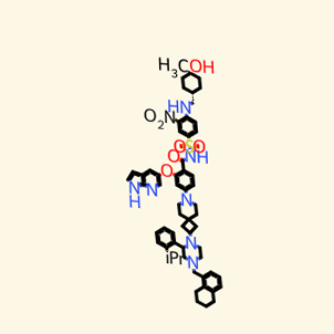 CC(C)c1ccccc1C1CN(Cc2cccc3c2CCCC3)CCN1C1CC2(CCN(c3ccc(C(=O)NS(=O)(=O)c4ccc(NC[C@H]5CC[C@](C)(O)CC5)c([N+](=O)[O-])c4)c(Oc4cnc5[nH]ccc5c4)c3)CC2)C1